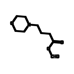 O=COC(=O)CCCN1CCOCC1